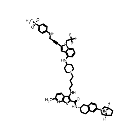 Cc1ccc2c(NCCCCN3CCC(Nc4cccc5c4cc(C#CCNc4ccc(S(C)(=O)=O)cc4)n5CC(F)(F)F)CC3)c(C(=O)N[C@H]3CCc4cc(N5C[C@H]6CC[C@@H](C5)N6)ccc4C3)sc2n1